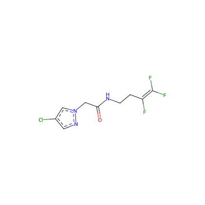 O=C(Cn1cc(Cl)cn1)NCCC(F)=C(F)F